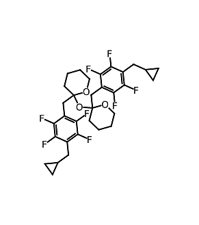 Fc1c(F)c(CC2(OC3(Cc4c(F)c(F)c(CC5CC5)c(F)c4F)CCCCO3)CCCCO2)c(F)c(F)c1CC1CC1